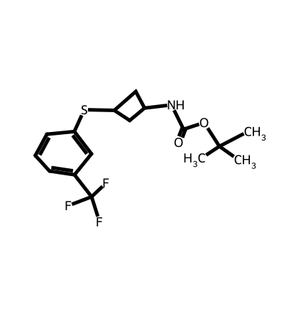 CC(C)(C)OC(=O)NC1CC(Sc2cccc(C(F)(F)F)c2)C1